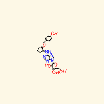 OCC1O[C@@H](n2cnc3c(N[C@@H]4CCC[C@H]4OCc4ccc(O)cc4)ncnc32)[C@H](O)[C@@H]1O